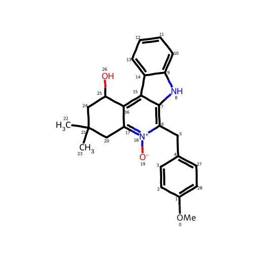 COc1ccc(Cc2c3[nH]c4ccccc4c3c3c([n+]2[O-])CC(C)(C)CC3O)cc1